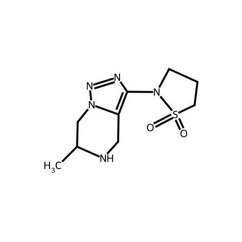 CC1Cn2nnc(N3CCCS3(=O)=O)c2CN1